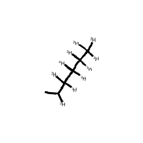 [2H]C(C)C([2H])([2H])C([2H])([2H])C([2H])([2H])C([2H])([2H])[2H]